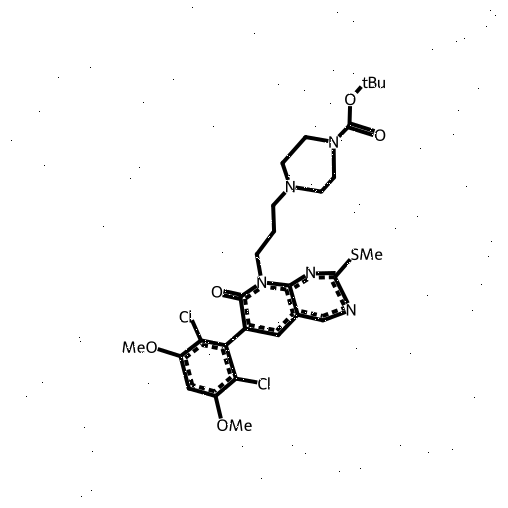 COc1cc(OC)c(Cl)c(-c2cc3cnc(SC)nc3n(CCCN3CCN(C(=O)OC(C)(C)C)CC3)c2=O)c1Cl